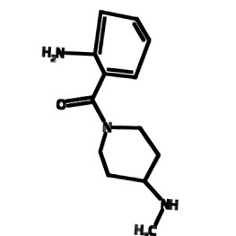 CNC1CCN(C(=O)c2ccccc2N)CC1